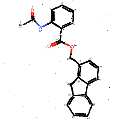 CCC(=O)Nc1ccccc1C(=O)OCc1cccc2c1Cc1ccccc1-2